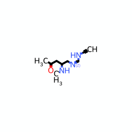 C#CN/C=N\CC(CC(C)=O)NC